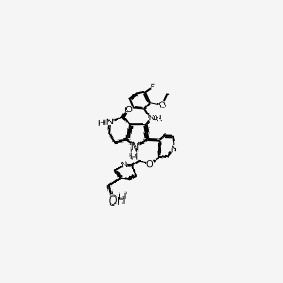 COc1c(F)cccc1Nc1c(-c2ccncc2OCc2ccc(CO)cn2)[nH]c2c1C(=O)NCC2